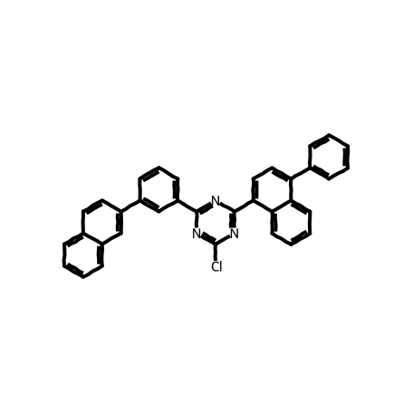 Clc1nc(-c2cccc(-c3ccc4ccccc4c3)c2)nc(-c2ccc(-c3ccccc3)c3ccccc23)n1